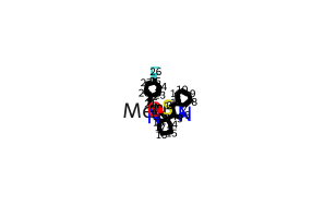 CNC(=S)C1(c2cnc3ccccc3c2)CCCC/C1=N/OCc1ccc(F)cc1